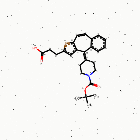 CC(C)(C)OC(=O)N1CCC(=C2c3ccccc3C=Cc3sc(CCC(=O)O)cc32)CC1